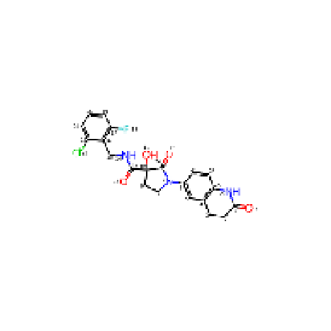 O=C1CCc2cc(N3CCC(O)(C(=O)NCc4c(F)cccc4Cl)C3=O)ccc2N1